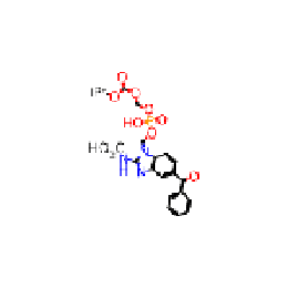 CC(C)OC(=O)OCOP(=O)(O)OCn1c(NC(=O)O)nc2cc(C(=O)c3ccccc3)ccc21